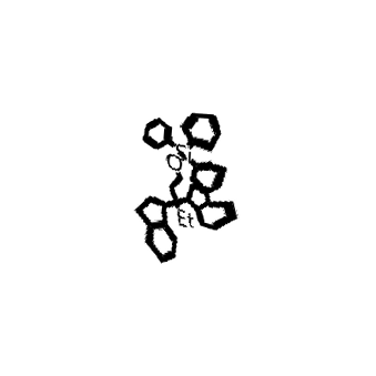 CCC(CCO[Si](c1ccccc1)(c1ccccc1)c1ccccc1)(C1CCC2CC=CC=C21)C1CCC2CC=CC=C21